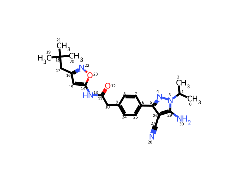 CC(C)n1nc(-c2ccc(CC(=O)Nc3cc(CC(C)(C)C)no3)cc2)c(C#N)c1N